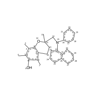 Cc1c(C)c2c(c(C)c1O)CCC(C)(CN(c1ccccc1)c1cccc3ccccc13)O2